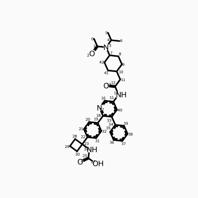 CC(=O)N(C(C)C)C1CCC(CC(=O)Nc2cnc(-c3ccc(C4(NC(=O)O)CCC4)cc3)c(-c3ccccc3)c2)CC1